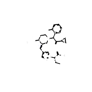 CCC(C(=O)O)n1cc(/C=C2\CN(C(C(=O)C3CC3)c3ccccc3F)CCC2S)cn1.Cl